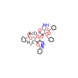 CC(=O)OC[C@@H]1OC(C=N)C(OC(=O)c2ccccc2)C(OCc2ccccc2)[C@@H]1OC1OC(COC(=O)c2ccccc2)C(C)[C@H](OCc2ccccc2)[C@@H]1N=[N+]=[N-]